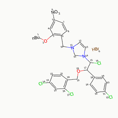 Br.CCCCOc1cc([N+](=O)[O-])ccc1CN1C=CN(C(Cl)C(OCc2ccc(Cl)cc2Cl)c2ccc(Cl)cc2)C1